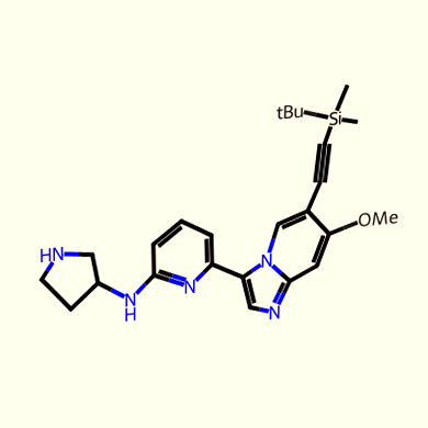 COc1cc2ncc(-c3cccc(NC4CCNC4)n3)n2cc1C#C[Si](C)(C)C(C)(C)C